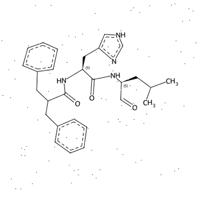 CC(C)C[C@@H](C=O)NC(=O)[C@H](Cc1c[nH]cn1)NC(=O)C(Cc1ccccc1)Cc1ccccc1